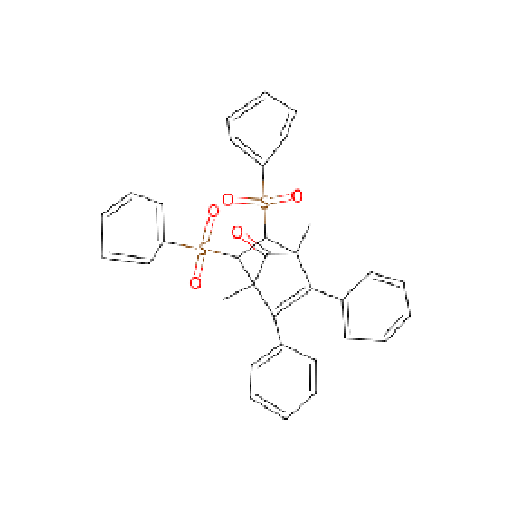 CC12C(=O)C(C)(C(c3ccccc3)=C1c1ccccc1)C(S(=O)(=O)c1ccccc1)C2S(=O)(=O)c1ccccc1